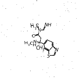 CN[C@@](C)(CC(=O)N(C)C=N)c1ccc2ncsc2c1